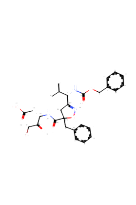 CC(C)[C@H](NC(=O)OCc1ccccc1)C1=NOC(Cc2ccccc2)(C(=O)N[C@@H](CC(=O)O)C(=O)CBr)C1